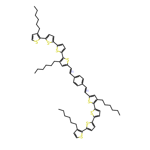 CCCCCCc1ccsc1-c1ccc(-c2ccc(-c3sc(/C=C/c4ccc(/C=C/c5cc(CCCCCC)c(-c6ccc(-c7ccc(-c8sccc8CCCCCC)s7)s6)s5)cc4)cc3CCCCCC)s2)s1